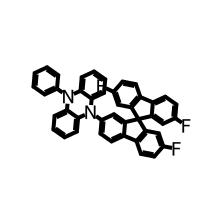 Fc1ccc2c(c1)C1(c3cc(F)ccc3-2)c2cc(F)ccc2-c2ccc(N3c4ccccc4N(c4ccccc4)c4ccccc43)cc21